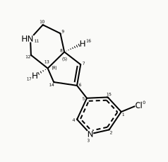 Clc1cncc(C2=C[C@@H]3CCNC[C@@H]3C2)c1